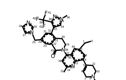 CCc1cc(C2=CCN(C)CC2)c2nc(C)cc(N3CCc4c(cc(Cn5ccnc5)cc4-c4cn(C)nc4C(F)(F)F)C3=O)c2c1